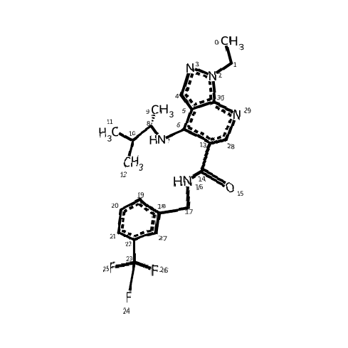 CCn1ncc2c(N[C@@H](C)C(C)C)c(C(=O)NCc3cccc(C(F)(F)F)c3)cnc21